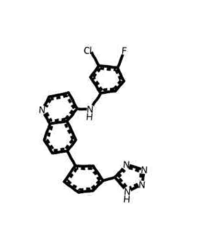 Fc1ccc(Nc2ccnc3ccc(-c4cccc(-c5nnn[nH]5)c4)cc23)cc1Cl